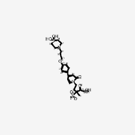 CC(CCn1ccc(-c2ccc(OCCCN3CCS(O)(O)CC3)cc2)cc1=O)(C(=O)NO)S(C)(=O)=O